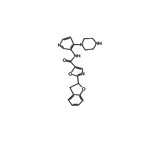 O=C(Nc1cnccc1N1CCNCC1)c1cnc(C2Cc3ccccc3O2)o1